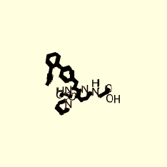 CC#Cc1ccccc1-c1ccc(CC(NS(=O)(=O)c2ccccn2)c2cccc(NCC(=O)O)n2)cc1